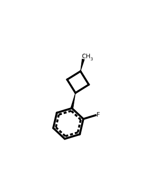 C[C@H]1C[C@@H](c2ccccc2F)C1